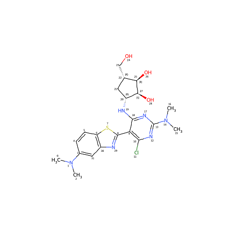 CN(C)c1ccc2sc(-c3c(Cl)nc(N(C)C)nc3N[C@@H]3C[C@H](CO)[C@@H](O)[C@H]3O)nc2c1